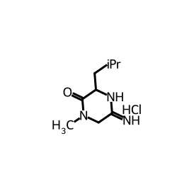 CC(C)CC1NC(=N)CN(C)C1=O.Cl